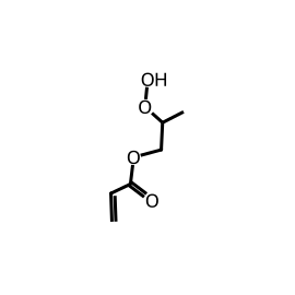 C=CC(=O)OCC(C)OO